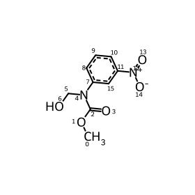 COC(=O)N(CO)c1cccc([N+](=O)[O-])c1